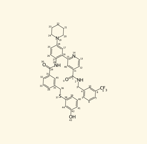 O=C(NCc1cccc(C(F)(F)F)c1)c1ccnc(-c2cc(N3CCCCC3)ccc2NC(=O)c2cccc(CSc3cccc(O)c3)c2)c1